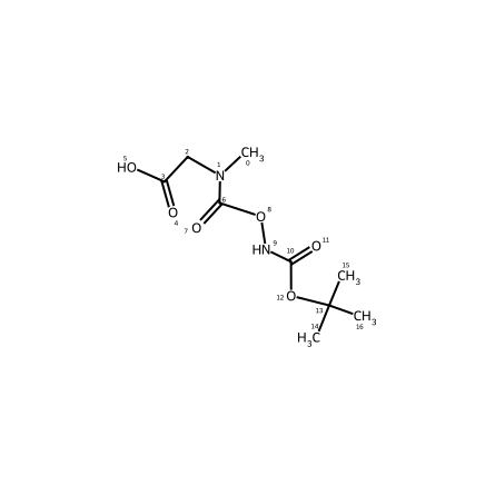 CN(CC(=O)O)C(=O)ONC(=O)OC(C)(C)C